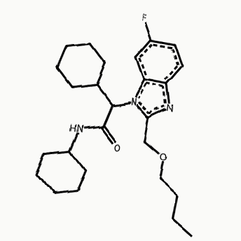 CCCCOCc1nc2ccc(F)cc2n1C(C(=O)NC1CCCCC1)C1CCCCC1